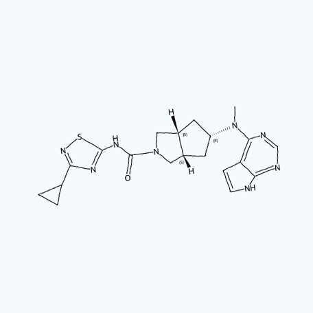 CN(c1ncnc2[nH]ccc12)[C@@H]1C[C@@H]2CN(C(=O)Nc3nc(C4CC4)ns3)C[C@@H]2C1